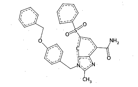 Cc1nc2c(C(N)=O)cc(S(=O)(=O)c3ccccc3)cc2n1Cc1ccc(OCc2ccccc2)cc1